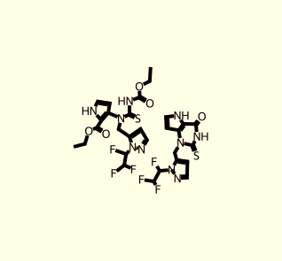 CCOC(=O)NC(=S)N(Cc1ccnn1C(F)C(F)F)c1cc[nH]c1C(=O)OCC.O=c1[nH]c(=S)n(Cc2ccnn2C(F)C(F)F)c2cc[nH]c12